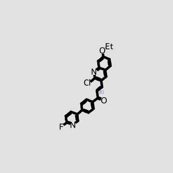 CCOc1ccc2cc(/C=C/C(=O)c3ccc(-c4ccc(F)nc4)cc3)c(Cl)nc2c1